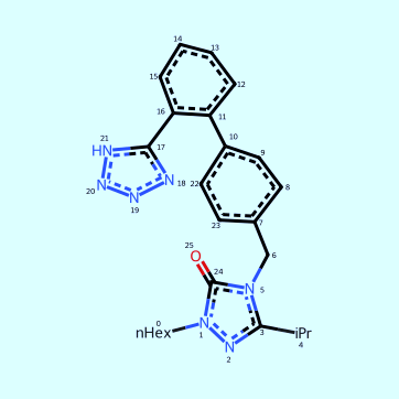 CCCCCCn1nc(C(C)C)n(Cc2ccc(-c3ccccc3-c3nnn[nH]3)cc2)c1=O